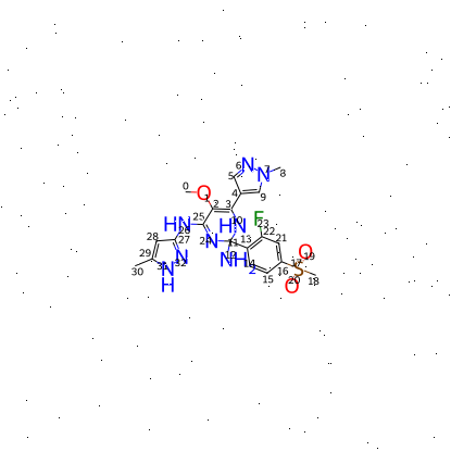 COC1=C(c2cnn(C)c2)NC(N)(c2ccc(S(C)(=O)=O)cc2F)N=C1Nc1cc(C)[nH]n1